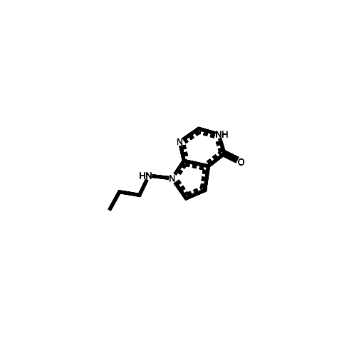 CCCNn1ccc2c(=O)[nH]cnc21